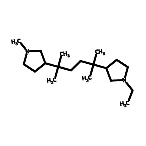 CCN1CCC(C(C)(C)CCC(C)(C)C2CCN(C)C2)C1